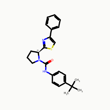 CC(C)(C)c1ccc(NC(=O)N2CCC[C@H]2c2nc(-c3ccccc3)cs2)cc1